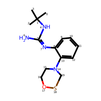 CC(C)(C)NC(N)=Nc1ccccc1N1CCOSC1